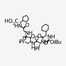 CC(C)COC(=O)N[C@H](C(=O)N[C@@H](CC(C)C)C(=O)NC(CC(C)C)C(=O)C(=O)NCC(=O)N[C@H](C(=O)O)C1CCCC1)C1CCCCC1